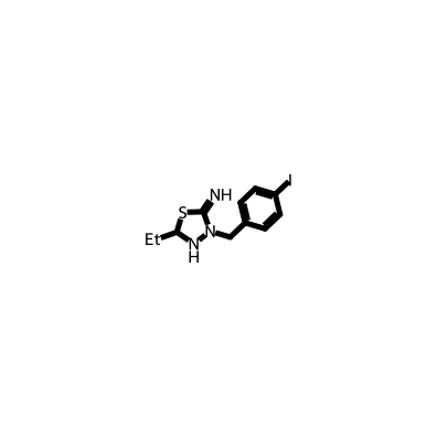 CCC1NN(Cc2ccc(I)cc2)C(=N)S1